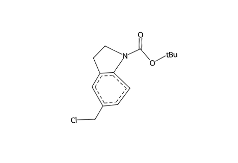 CC(C)(C)OC(=O)N1CCc2cc(CCl)ccc21